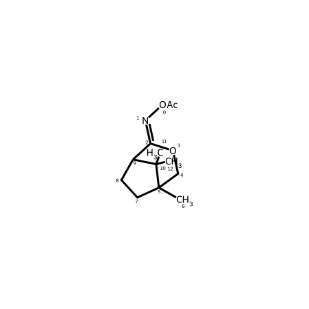 CC(=O)O/N=C1\OCC2(C)CCC1C2(C)C